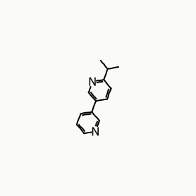 CC(C)c1ccc(-c2cccnc2)cn1